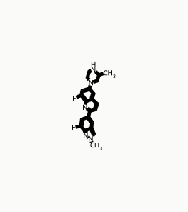 CC1CN(c2cc(F)c3nc(-c4cc(F)c5nn(C)cc5c4)ccc3c2)CCN1